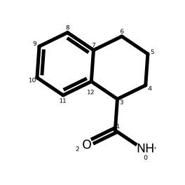 [NH]C(=O)C1CCCc2ccccc21